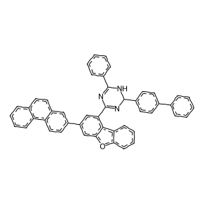 c1ccc(C2=NC(c3cc(-c4ccc5c(ccc6ccccc65)c4)cc4oc5ccccc5c34)=NC(c3ccc(-c4ccccc4)cc3)N2)cc1